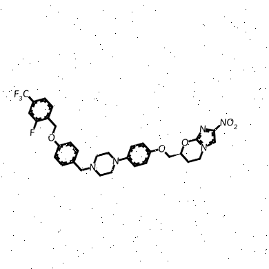 O=[N+]([O-])c1cn2c(n1)O[C@H](COc1ccc(N3CCN(Cc4ccc(OCc5ccc(C(F)(F)F)cc5F)cc4)CC3)cc1)CC2